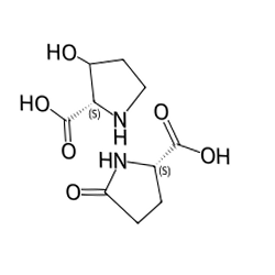 O=C(O)[C@H]1NCCC1O.O=C1CC[C@@H](C(=O)O)N1